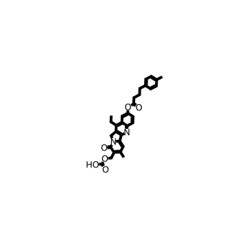 CCc1c2c(nc3ccc(OC(=O)CCCc4ccc(C)cc4)cc13)-c1cc(C)c(COC(=O)O)c(=O)n1C2